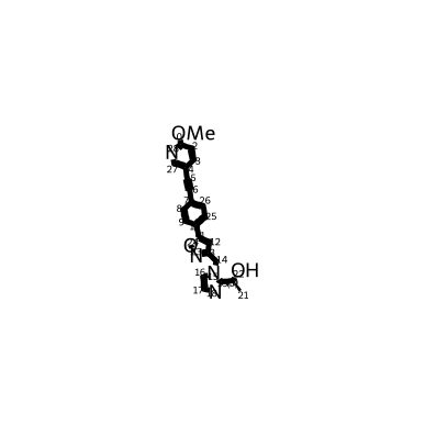 COc1ccc(C#Cc2ccc(-c3cc(Cn4ccnc4[C@H](C)O)no3)cc2)cn1